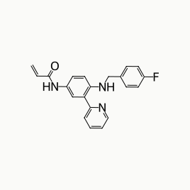 C=CC(=O)Nc1ccc(NCc2ccc(F)cc2)c(-c2ccccn2)c1